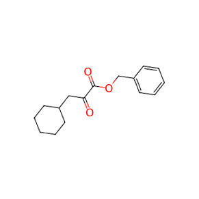 O=C(CC1CCCCC1)C(=O)OCc1ccccc1